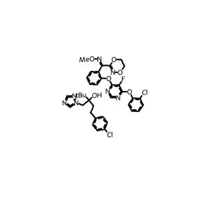 CC(C)(C)C(O)(CCc1ccc(Cl)cc1)Cn1cncn1.CO/N=C(/C1=NOCCO1)c1ccccc1Oc1ncnc(Oc2ccccc2Cl)c1F